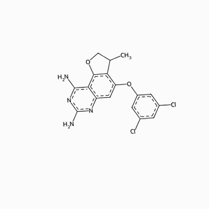 CC1COc2c1c(Oc1cc(Cl)cc(Cl)c1)cc1nc(N)nc(N)c21